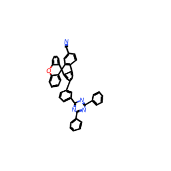 N#Cc1ccc2c(c1)C1(c3ccccc3Oc3ccccc31)c1cc(-c3cccc(-c4nc(-c5ccccc5)nc(-c5ccccc5)n4)c3)ccc1-2